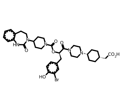 O=C(O)C[C@H]1CC[C@@H](N2CCN(C(=O)[C@@H](Cc3ccc(O)c(Br)c3)OC(=O)N3CCC(N4CCc5ccccc5NC4=O)CC3)CC2)CC1